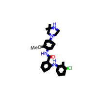 COc1cc(N2CCNC(C)(C)C2)ccc1NC(=O)c1ccccc1Nc1cccc(Cl)c1C